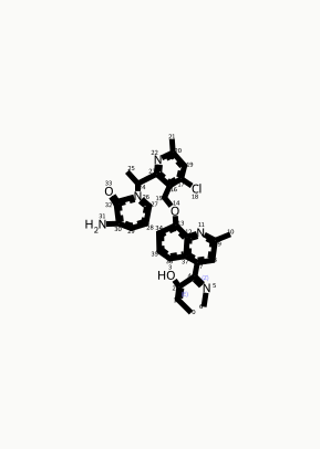 C/C=C(O)\C(=N/C)c1cc(C)nc2c(OCc3c(Cl)cc(C)nc3C(C)n3cccc(N)c3=O)cccc12